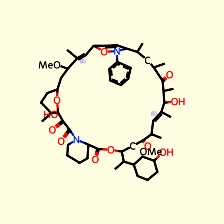 COC1CC2CCC(C)C(O)(O2)C(=O)C(=O)N2CCCCC2C(=O)OC(C(C)C2CCCC(O)C2OC)CC(=O)C(C)/C=C(\C)C(O)C(C)C(=O)C(C)CC(C)C2C=CC(/C=C/1C)ON2c1ccccc1